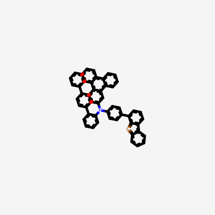 c1ccc(-c2ccc(-c3ccccc3N(c3ccc(-c4cccc5c4sc4ccccc45)cc3)c3ccc4c5ccccc5c5ccccc5c4c3)cc2)cc1